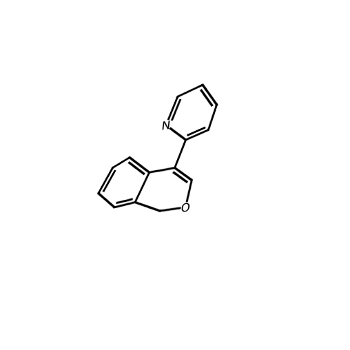 C1=C(c2ccccn2)c2ccccc2CO1